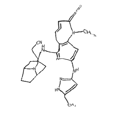 Cc1cc(Nc2cc3c(c(NC4CC5CCC(C4)N5CCC#N)n2)C=CC(=C=O)N3C)n[nH]1